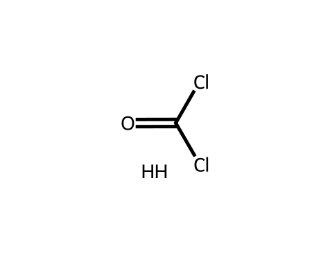 O=C(Cl)Cl.[HH]